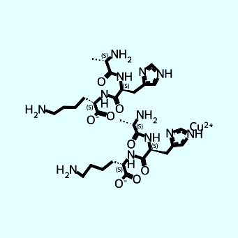 C[C@H](N)C(=O)N[C@@H](Cc1c[nH]cn1)C(=O)N[C@@H](CCCCN)C(=O)[O-].C[C@H](N)C(=O)N[C@@H](Cc1c[nH]cn1)C(=O)N[C@@H](CCCCN)C(=O)[O-].[Cu+2]